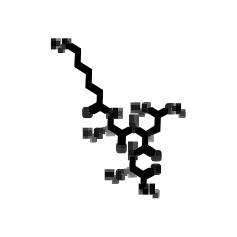 CC(C)C[C@H](NC(=O)[C@H](C)NC(=O)CCCCCN)C(=O)N[C@@H](C)C(N)=O